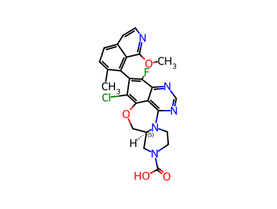 COc1nccc2ccc(C)c(-c3c(Cl)c4c5c(ncnc5c3F)N3CCN(C(=O)O)C[C@H]3CO4)c12